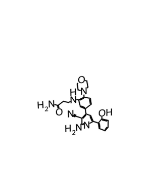 N#Cc1c(-c2ccc(N3CCOCC3)c(NCCC(N)=O)c2)cc(-c2ccccc2O)nc1N